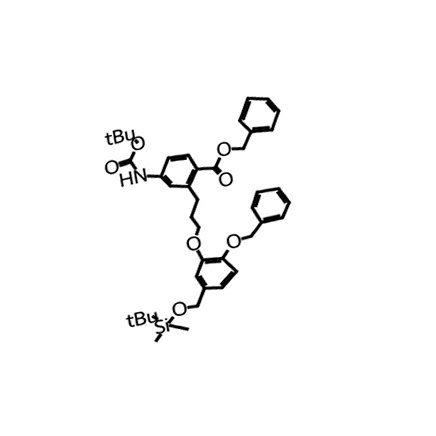 CC(C)(C)OC(=O)Nc1ccc(C(=O)OCc2ccccc2)c(CCCOc2cc(CO[Si](C)(C)C(C)(C)C)ccc2OCc2ccccc2)c1